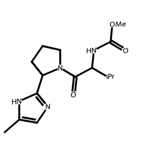 COC(=O)NC(C(=O)N1CCCC1c1ncc(C)[nH]1)C(C)C